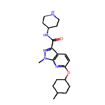 CC1CCC(Oc2ccc3c(C(=O)NC4CCNCC4)nn(C)c3n2)CC1